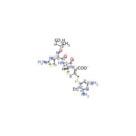 CC[n+]1c(SCC2=C(C(=O)[O-])N3C(=O)[C@@H](NC(=O)/C(=N\OC(C)CC(=O)O)c4csc(N)n4)[C@H]3SC2)cc(N)nc1N